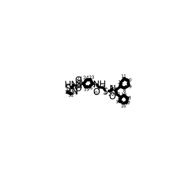 O=C(CSc1nc(-c2ccccc2)c(-c2ccccc2)o1)Nc1ccc(S(=O)(=O)Nc2nccs2)cc1